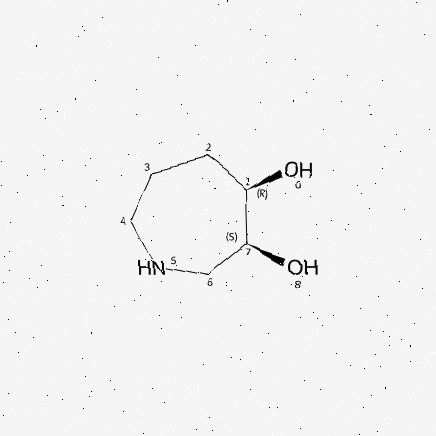 O[C@@H]1CCCNC[C@@H]1O